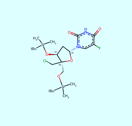 CC(C)(C)[Si](C)(C)OC[C@@]1(CCl)O[C@@H](n2cc(F)c(=O)[nH]c2=O)C[C@@H]1O[Si](C)(C)C(C)(C)C